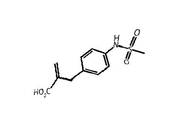 C=C(Cc1ccc(NS(C)(=O)=O)cc1)C(=O)O